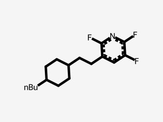 CCCCC1CCC(CCc2cc(F)c(F)nc2F)CC1